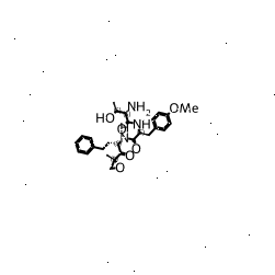 COc1ccc(C[C@H](NC(=O)[C@@H](N)[C@H](C)O)C(=O)N[C@@H](CCc2ccccc2)C(=O)[C@@]2(C)CO2)cc1